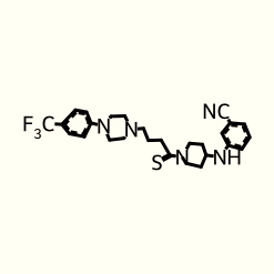 N#Cc1cccc(NC2CCN(C(=S)CCCN3CCN(c4ccc(C(F)(F)F)cc4)CC3)CC2)c1